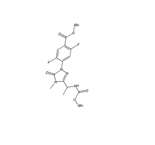 CC(NC(=O)OC(C)(C)C)c1nn(-c2cc(F)c(C(=O)OC(C)(C)C)cc2F)c(=O)n1C